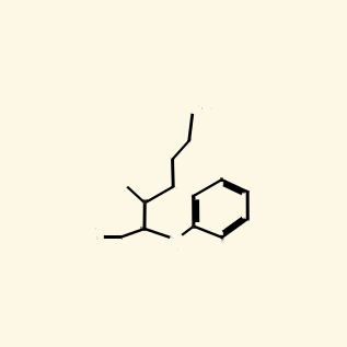 CCCCCCCCCCCCC(CC)C(CBr)Oc1ccccc1